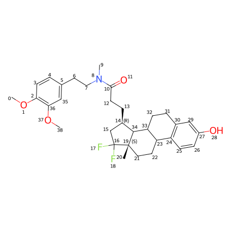 COc1ccc(CCN(C)C(=O)CC[C@@H]2CC(F)(F)[C@@]3(C)CCC4c5ccc(O)cc5CCC4C23)cc1OC